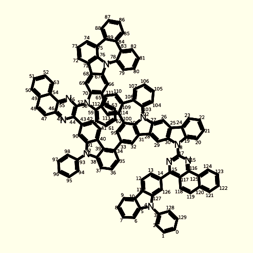 c1ccc(-n2c3ccccc3c3ccc(-c4nc(-n5c6ccccc6c6cc7c(cc65)c5cc(-c6cccc8c6c6ccc(-c9nc%10ccc%11ccccc%11c%10nc9-n9c%10ccccc%10c%10cc%11c(cc%109)c9cccc%10c9n%11-c9ccccc9-c9ccccc9-%10)cc6n8-c6ccccc6)cc6c5n7-c5ccccc5-c5ccccc5-6)nc5c4ccc4ccccc45)cc32)cc1